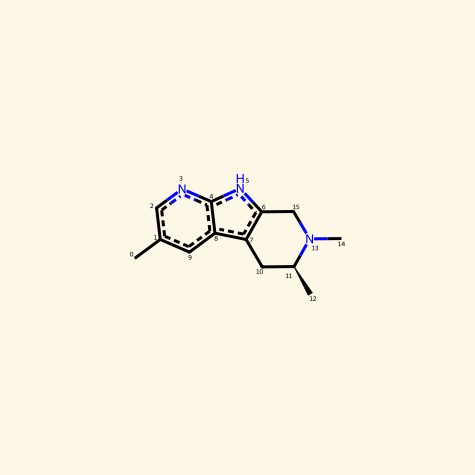 Cc1cnc2[nH]c3c(c2c1)C[C@H](C)N(C)C3